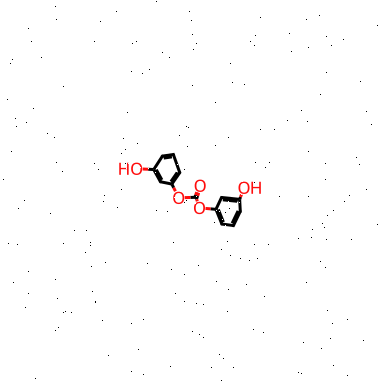 O=C(Oc1cccc(O)c1)Oc1cccc(O)c1